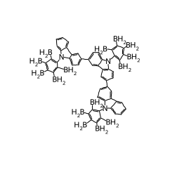 Bc1c(B)c(B)c(-n2c3ccccc3c3cc(-c4ccc5c(c4)c4cc(-c6ccc7c(c6)c6ccccc6n7-c6c(B)c(B)c(B)c(B)c6B)ccc4n5-c4c(B)c(B)c(B)c(B)c4B)ccc32)c(B)c1B